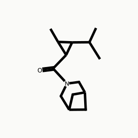 CC(C)C1C(C)C1C(=O)N1CC2CC(C2)C1